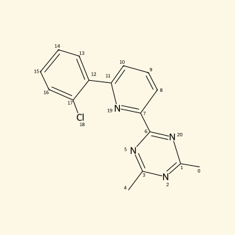 Cc1nc(C)nc(-c2cccc(-c3ccccc3Cl)n2)n1